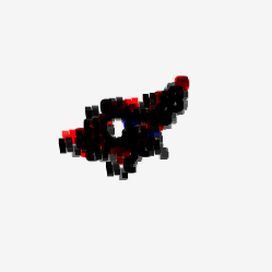 CC[C@H]1OC(=O)C(C)[C@@H](O[C@@H]2C[C@](C)(OC)[C@H](O)C(C)O2)[C@H](C)[C@@H](O[C@@H]2O[C@H](C)CC(N(C)C)[C@H]2O)[C@](C)(O)C[C@@H](C)CN(CCCNC(=O)[C@@]2(O)CCC3C4CCC5=CC(=O)CC[C@]5(C)C4C(=O)C[C@@]32C)[C@H](C)[C@@H](O)[C@]1(C)O